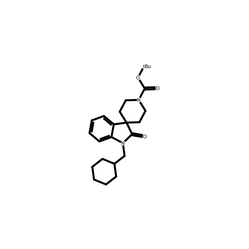 CC(C)(C)OC(=O)N1CCC2(CC1)C(=O)N(CC1CCCCC1)c1ccccc12